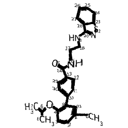 Cc1ccc(OC(C)C)c(-c2ccc(C(=O)NCCNc3nsc4ccccc34)cc2)c1